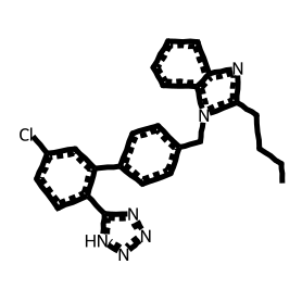 CCCCc1nc2ccccc2n1Cc1ccc(-c2cc(Cl)ccc2-c2nnn[nH]2)cc1